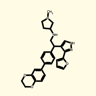 CN1CCC(NCC(c2ccc(-c3ccc4c(c3)OCCO4)cc2)c2c[nH]nc2-c2ccco2)C1